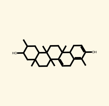 CC1=C2CC=C3C(C)(CCC4(C)C5CC(C)C(O)CC5(C)CCC34C)C2CC=C1O